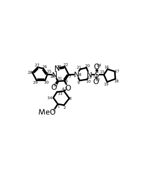 COC1CCC(Oc2c(N3CCN(S(=O)(=O)C4CCCC4)CC3)cnn(-c3ccccc3)c2=O)CC1